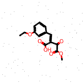 CCOc1cccc(C=C(C(=O)O)C(=O)C(=O)OC)c1